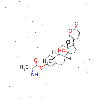 C[C@@H](N)C(=O)O[C@H]1CC[C@@]2(C)C(CC[C@@H]3[C@@H]2CC[C@]2(C)[C@@H](c4ccc(=O)oc4)CC[C@]32O)C1